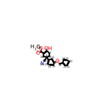 COC(=O)C1=C(O)CCC(C#N)(c2cccc(OCc3ccccc3)c2)C1